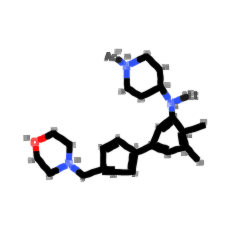 CCN(c1cc(-c2ccc(CN3CCOCC3)cc2)cc(C)c1C)C1CCN(C(C)=O)CC1